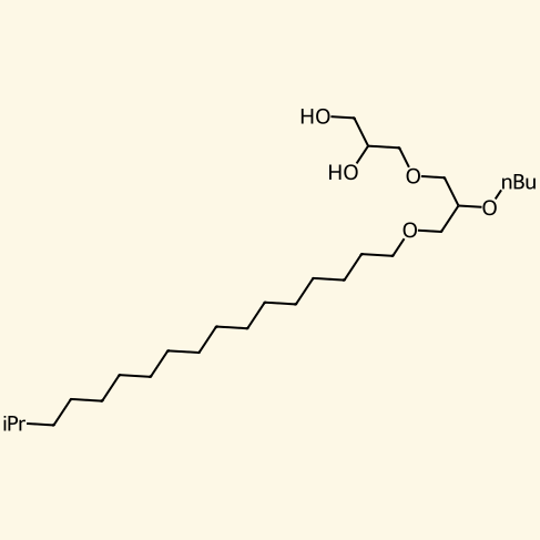 CCCCOC(COCCCCCCCCCCCCCCCC(C)C)COCC(O)CO